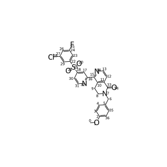 COc1ccc(CN2CCc3c(ccnc3-c3cc(S(=O)(=O)c4cc(F)cc(Cl)c4)ccn3)C2=O)cc1